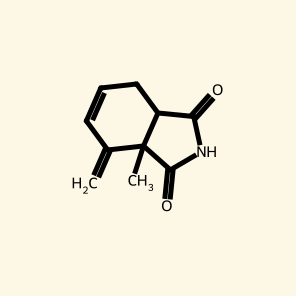 C=C1C=CCC2C(=O)NC(=O)C12C